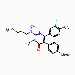 CNCCCN(C)c1nc(-c2ccc(C#N)c(F)c2)c(-c2ccc(OC)cc2)c(=O)n1C